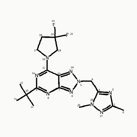 Cc1nc(Cn2nc3nc(C(C)(C)C)nc(N4CCC(F)(F)C4)c3n2)n(C)n1